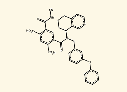 N#CNC(=O)c1cc(C(=O)N(Cc2cccc(Oc3ccccc3)c2)[C@H]2CCCc3ccccc32)c(C(=O)O)cc1C(=O)O